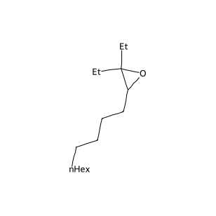 CCCCCCCCCCC1OC1(CC)CC